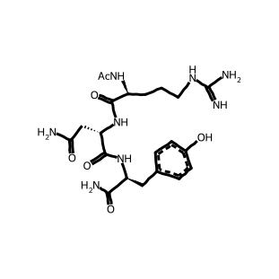 CC(=O)N[C@@H](CCCNC(=N)N)C(=O)N[C@@H](CC(N)=O)C(=O)N[C@@H](Cc1ccc(O)cc1)C(N)=O